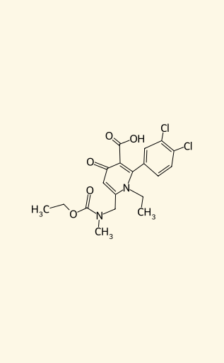 CCOC(=O)N(C)Cc1cc(=O)c(C(=O)O)c(-c2ccc(Cl)c(Cl)c2)n1CC